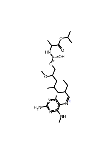 CCC(/C=N\c1c(C)nc(N)nc1NC)CC(C)CC(CO[P@](O)NC(C)C(=O)OC(C)C)OC